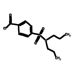 CCCN(CCC)S(=O)(=O)c1ccc(C(=O)Cl)cc1